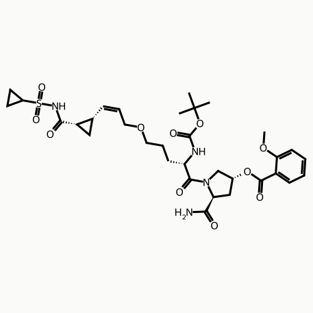 COc1ccccc1C(=O)O[C@@H]1C[C@@H](C(N)=O)N(C(=O)[C@H](CCCOC/C=C\[C@@H]2C[C@@H]2C(=O)NS(=O)(=O)C2CC2)NC(=O)OC(C)(C)C)C1